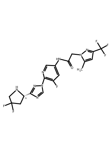 Cc1cc(C(F)(F)F)nn1CC(=O)Nc1cnc(-n2cnc([C@@H]3CC(F)(F)CN3)n2)c(F)c1